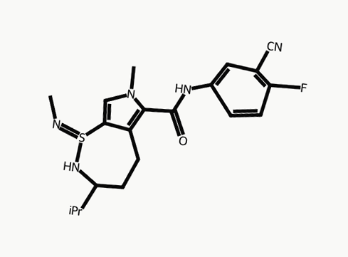 C/N=S1/NC(C(C)C)CCc2c1cn(C)c2C(=O)Nc1ccc(F)c(C#N)c1